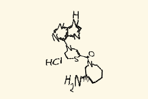 Cl.N[C@@H]1CCCCN(C(=O)C2=CN(c3ncnc4[nH]cnc34)CCS2)C1